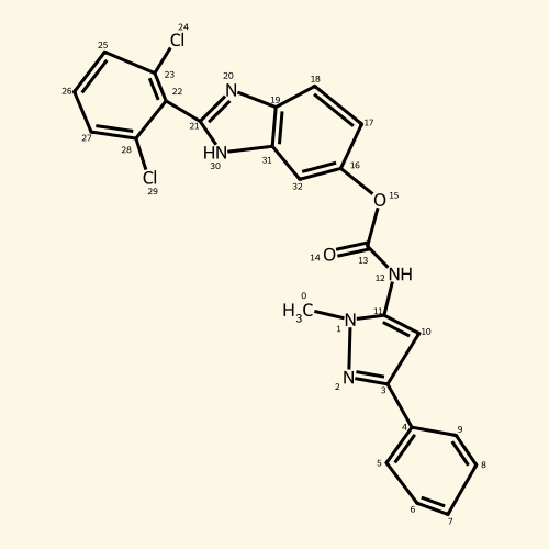 Cn1nc(-c2ccccc2)cc1NC(=O)Oc1ccc2nc(-c3c(Cl)cccc3Cl)[nH]c2c1